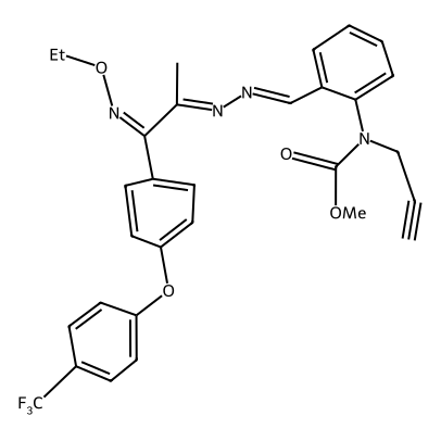 C#CCN(C(=O)OC)c1ccccc1/C=N/N=C(C)/C(=N\OCC)c1ccc(Oc2ccc(C(F)(F)F)cc2)cc1